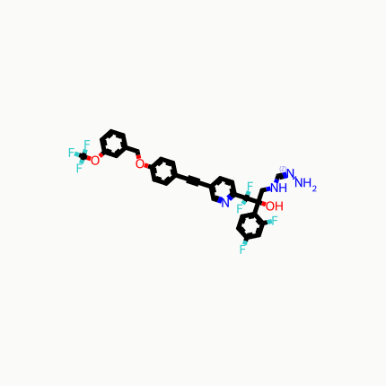 N/N=C\NCC(O)(c1ccc(F)cc1F)C(F)(F)c1ccc(C#Cc2ccc(OCc3cccc(OC(F)(F)F)c3)cc2)cn1